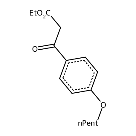 CCCCCOc1ccc(C(=O)CC(=O)OCC)cc1